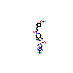 O=C(C=Cc1ccc(OC(F)(F)F)cc1)N1CC=C2CN(C(=O)N3CCn4nc(C(F)(F)F)nc4C3)C[C@H]2CC1